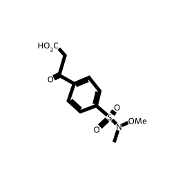 CON(C)S(=O)(=O)c1ccc(C(=O)CC(=O)O)cc1